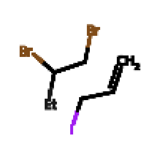 C=CCI.CCC(Br)CBr